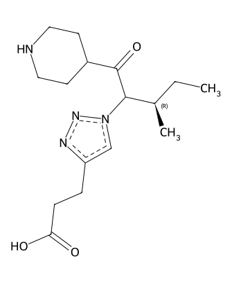 CC[C@@H](C)C(C(=O)C1CCNCC1)n1cc(CCC(=O)O)nn1